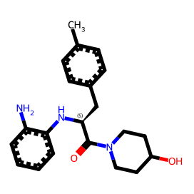 Cc1ccc(C[C@H](Nc2ccccc2N)C(=O)N2CCC(O)CC2)cc1